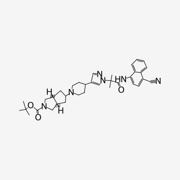 CC(C)(C)OC(=O)N1C[C@H]2CC(N3CCC(c4cnn(C(C)(C)C(=O)Nc5ccc(C#N)c6ccccc56)c4)CC3)C[C@H]2C1